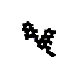 C#CCOc1ccc(/C=C/C(=O)Nc2ccccc2C#N)c(OC2CCNCC2)c1OC